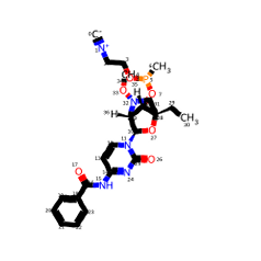 [C-]#[N+]CCOP(C)O[C@H]1[C@@H]2[C@H](n3ccc(NC(=O)c4ccccc4)nc3=O)O[C@@]1(CC)CN2OC